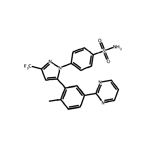 Cc1ccc(-c2ncccn2)cc1-c1cc(C(F)(F)F)nn1-c1ccc(S(N)(=O)=O)cc1